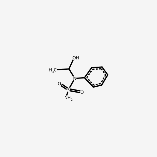 CC(O)N(c1ccccc1)S(N)(=O)=O